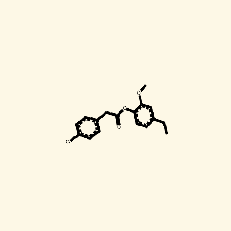 CCc1ccc(OC(=O)Cc2ccc(Cl)cc2)c(OC)c1